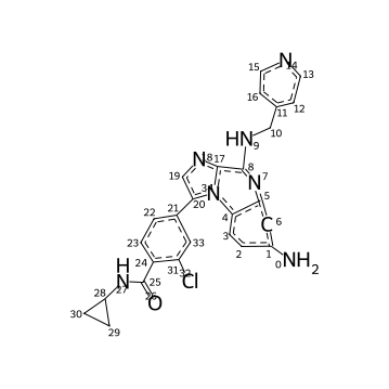 Nc1ccc2c(c1)nc(NCc1ccncc1)c1ncc(-c3ccc(C(=O)NC4CC4)c(Cl)c3)n12